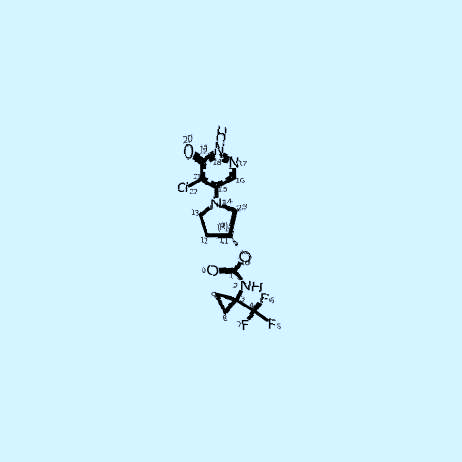 O=C(NC1(C(F)(F)F)CC1)O[C@@H]1CCN(c2cn[nH]c(=O)c2Cl)C1